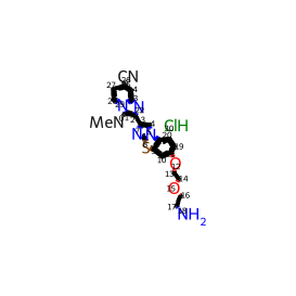 CNc1c(-c2cn3c(n2)sc2cc(OCCOCCN)ccc23)nc2cc(C#N)ccn12.Cl